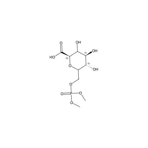 COP(=O)(OC)OCC1O[C@@H](C(=O)O)C(O)[C@@H](O)[C@@H]1O